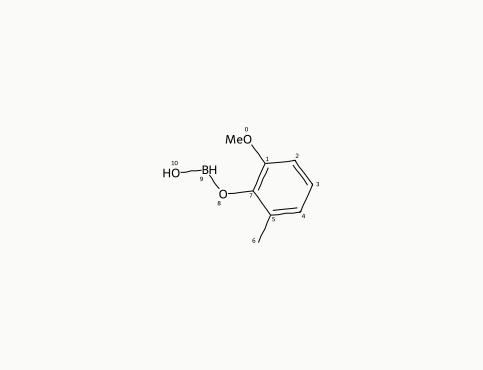 COc1cccc(C)c1OBO